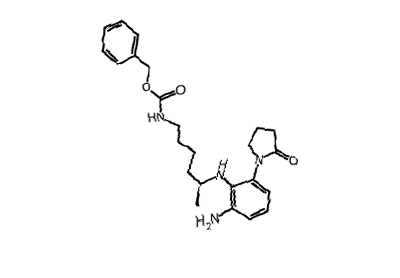 C[C@@H](CCCCNC(=O)OCc1ccccc1)Nc1c(N)cccc1N1CCCC1=O